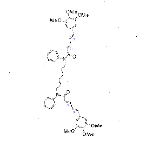 COc1cc(/C=C/C=C/C(=O)N(CCCCCCN(C(=O)/C=C/C=C/c2cc(OC)c(OC)c(OC)c2)c2ccccc2)c2ccccc2)cc(OC)c1OC